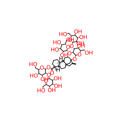 C=C1C[C@@]23CC[C@H]4[C@@](C)(CCC[C@@]4(C)C(=O)OC4OC(CO)C(O)C(O)C4OC4OC(CO)C(O)C(O)C4O)[C@@H]2CCC1(OC1OC(CO)C(O)C(OC2OC(CO)C(O)C(O)C2O)C1OC1OC(CO)C(O)C(O)C1O)C3